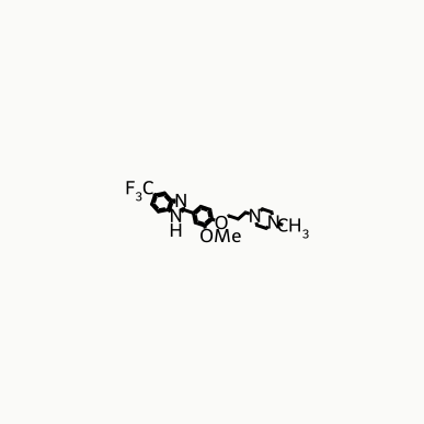 COc1cc(-c2nc3cc(C(F)(F)F)ccc3[nH]2)ccc1OCCCN1CCN(C)CC1